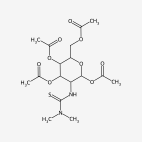 CC(=O)OCC1OC(OC(C)=O)C(NC(=S)N(C)C)C(OC(C)=O)C1OC(C)=O